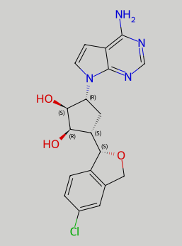 Nc1ncnc2c1ccn2[C@@H]1C[C@H]([C@@H]2OCc3cc(Cl)ccc32)[C@@H](O)[C@H]1O